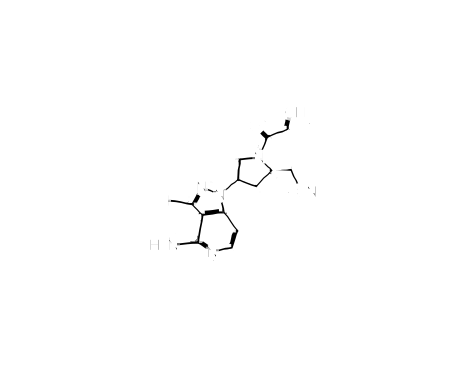 C=CC(=O)N1CC(n2nc(I)c3c(N)nccc32)C[C@@H]1CC#N